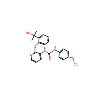 CC(C)(O)c1ccccc1Oc1ncccc1NC(=O)Nc1ccc(OC(F)(F)F)cc1